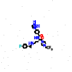 O=C(N[C@@H](CCCN[C@@H]1C[C@H]1c1ccc(F)cc1)C(=O)N1CCN(CC(F)(F)F)CC1)c1ccc(N2C=CNN2)cc1